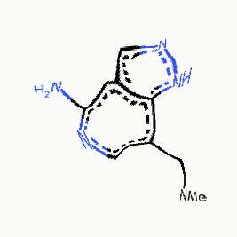 CNCc1cnc(N)c2cn[nH]c12